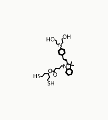 CC1(C)C(/C=C/c2ccc(N(CCO)CCO)cc2)=[N+](CCCC(=O)OC(CCS)CCS)c2ccccc21